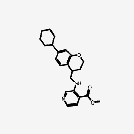 COC(=O)c1ccncc1NCC1CCOc2cc(C3CCCCC3)ccc21